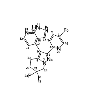 Fc1ccc(-c2nn3c(c2-c2ccnc4[nH]ncc24)CCC(F)(F)C3)nc1